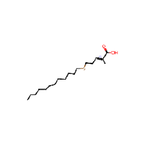 CCCCCCCCCCCCSCC/C=C(\C)C(=O)O